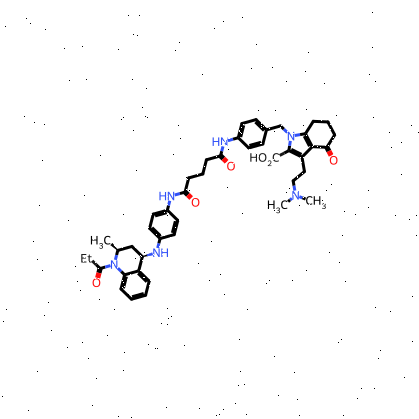 CCC(=O)N1c2ccccc2[C@H](Nc2ccc(NC(=O)CCCC(=O)Nc3ccc(Cn4c5c(c(CCN(C)C)c4C(=O)O)C(=O)CCC5)cc3)cc2)C[C@@H]1C